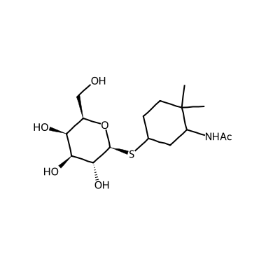 CC(=O)NC1CC(S[C@@H]2O[C@H](CO)[C@H](O)[C@H](O)[C@H]2O)CCC1(C)C